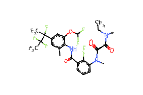 Cc1cc(C(F)(C(F)(F)F)C(F)(F)C(F)(F)F)cc(OC(F)F)c1NC(=O)c1cccc(N(C)C(=O)C(=O)N(C)CC(F)(F)F)c1F